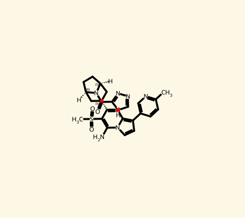 Cc1ccc(-c2ccn3c(N)c(S(C)(=O)=O)c([C@@H]4C[C@H]5CC[C@@H](C4)N5C(=O)c4nnc[nH]4)nc23)cn1